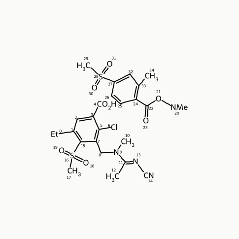 CCc1cc(C(=O)O)c(Cl)c(CN(C)C(C)=NC#N)c1S(C)(=O)=O.CNOC(=O)c1ccc(S(C)(=O)=O)cc1C